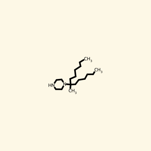 CCCCCCC(C)(CCCCCC)N1CCNCC1